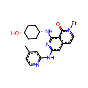 CCn1ccc2cc(Nc3cc(C)ccn3)nc(N[C@H]3CC[C@@H](O)CC3)c2c1=O